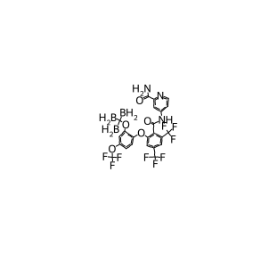 BC(B)(B)Oc1cc(OC(F)(F)F)ccc1Oc1cc(C(F)(F)F)cc(C(F)(F)F)c1C(=O)Nc1ccnc(C(N)=O)c1